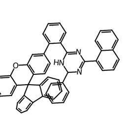 c1ccc(C2N=C(c3cccc4ccccc34)N=C(c3ccccc3-c3ccc4c(c3)Oc3ccccc3C43c4ccccc4-c4ccccc43)N2)cc1